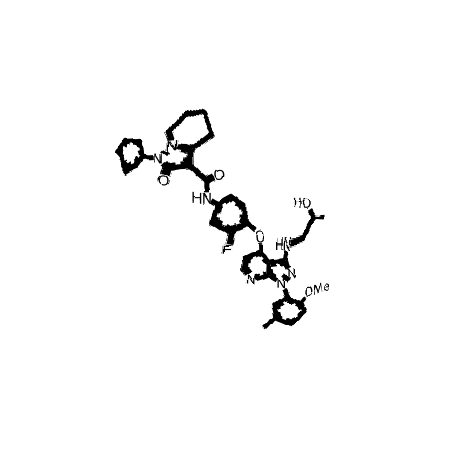 COc1ccc(C)cc1-n1nc(NC[C@H](C)O)c2c(Oc3ccc(NC(=O)c4c5n(n(-c6ccccc6)c4=O)CCCC5)cc3F)ccnc21